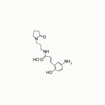 Cl.Nc1ccc(O)c(/C=C/C(=O)NCCCN2CCCC2=O)c1